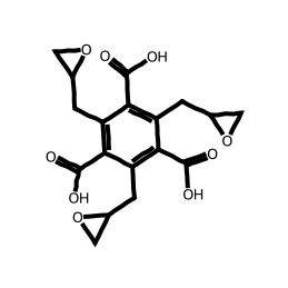 O=C(O)c1c(CC2CO2)c(C(=O)O)c(CC2CO2)c(C(=O)O)c1CC1CO1